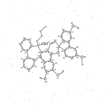 CCCCC1(O)c2ccccc2-c2ccccc2-c2c1c1c(c3cc(OC)c(OC)cc23)OC(c2ccc(OC)cc2)(c2ccc(OC)cc2)C=C1